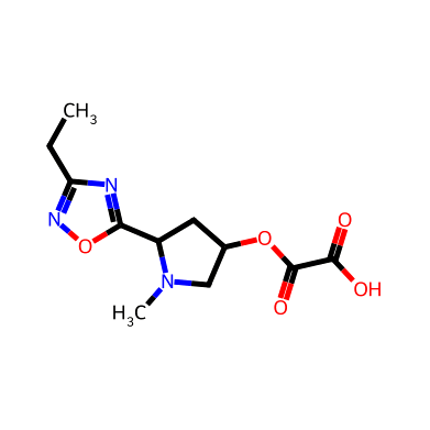 CCc1noc(C2CC(OC(=O)C(=O)O)CN2C)n1